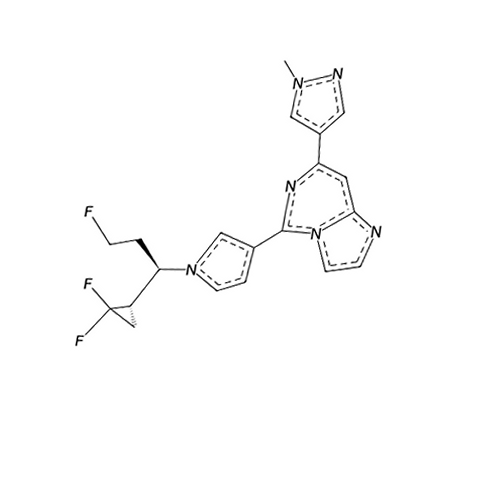 Cn1cc(-c2cc3nccn3c(-c3ccn([C@H](CCF)[C@@H]4CC4(F)F)c3)n2)cn1